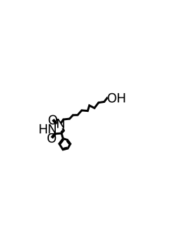 O=c1[nH]c(=O)n(CCCCCCCCCCCO)cc1-c1ccccc1